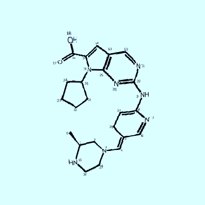 C[C@H]1CN(C=C2C=NC(Nc3ncc4cc(C(=O)O)n(C5CCCC5)c4n3)=CC2)CCN1